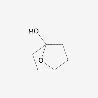 OC12CCC(CC1)O2